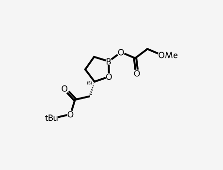 COCC(=O)OB1CC[C@@H](CC(=O)OC(C)(C)C)O1